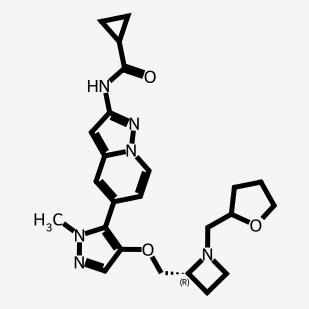 Cn1ncc(OC[C@H]2CCN2CC2CCCO2)c1-c1ccn2nc(NC(=O)C3CC3)cc2c1